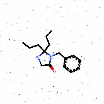 CCCC1(CCC)NCC(=O)N1Cc1ccccc1